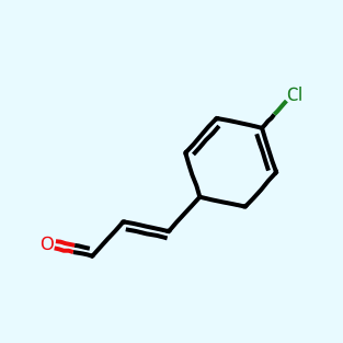 O=CC=CC1C=CC(Cl)=CC1